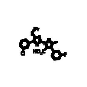 Cc1nn(-c2nc(-c3cccc(Cl)c3)c(SC(C)C)s2)c(C(=O)O)c1-c1cccc(F)c1